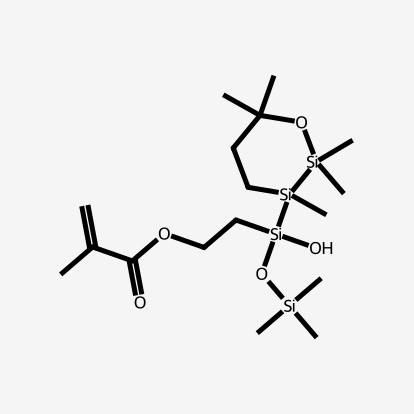 C=C(C)C(=O)OCC[Si](O)(O[Si](C)(C)C)[Si]1(C)CCC(C)(C)O[Si]1(C)C